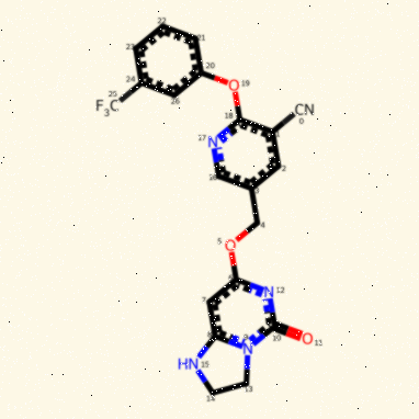 N#Cc1cc(COc2cc3n(c(=O)n2)CCN3)cnc1Oc1cccc(C(F)(F)F)c1